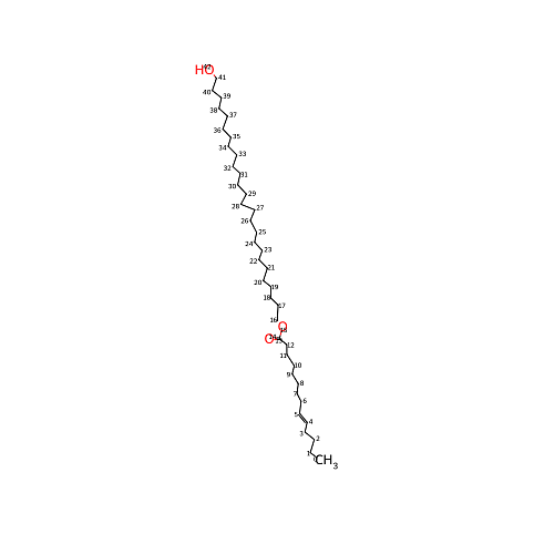 CCCCC=CCCCCCCCC(=O)OCCCCCCCCCCCCCCCCCCCCCCCCCCO